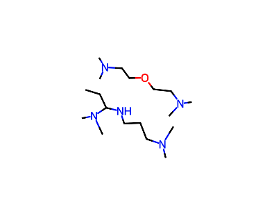 CCC(NCCCN(C)C)N(C)C.CN(C)CCOCCN(C)C